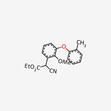 CCOC(=O)C(C#N)c1cccc(Oc2ccccc2C)c1OC